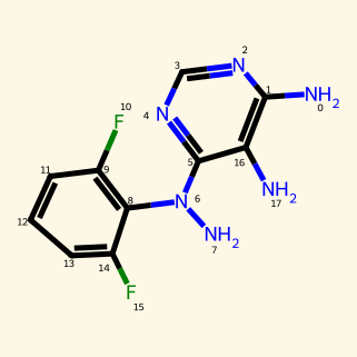 Nc1ncnc(N(N)c2c(F)cccc2F)c1N